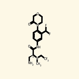 CN(CC(F)(F)F)[C@@H](CN)C(=O)Nc1ccc(N2CCOCC2=O)c(C(F)F)c1